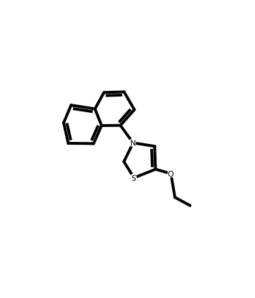 CCOC1=CN(c2cccc3ccccc23)CS1